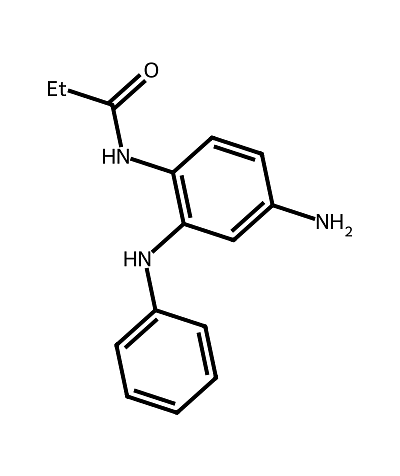 CCC(=O)Nc1ccc(N)cc1Nc1ccccc1